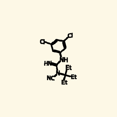 CCC(CC)(CC)N(C#N)C(=N)Nc1cc(Cl)cc(Cl)c1